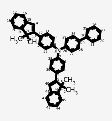 CC1(C)C(c2ccc(N(c3ccc(C4=Cc5ccccc5C4(C)C)cc3)c3ccc(-c4ccccc4)cc3)cc2)=Cc2ccccc21